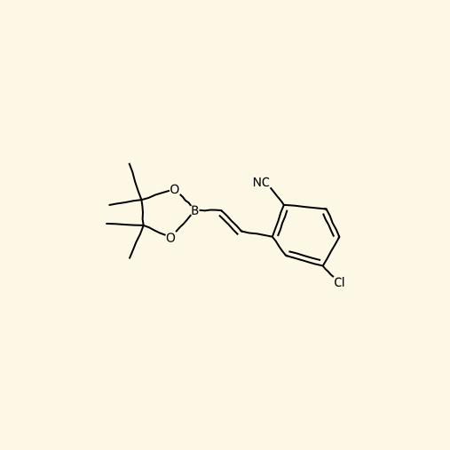 CC1(C)OB(C=Cc2cc(Cl)ccc2C#N)OC1(C)C